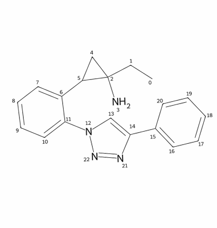 CCC1(N)CC1c1ccccc1-n1cc(-c2ccccc2)nn1